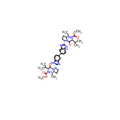 CC[C@@H]1CC[C@@H](c2nc3cc(-c4ccc5[nH]c([C@@H]6CC[C@@H](CC)N6C(=O)[C@@H](NC(=O)OC)C(C)C)nc5c4)ccc3[nH]2)N1C(=O)[C@@H](NC(=O)OC)C(C)C